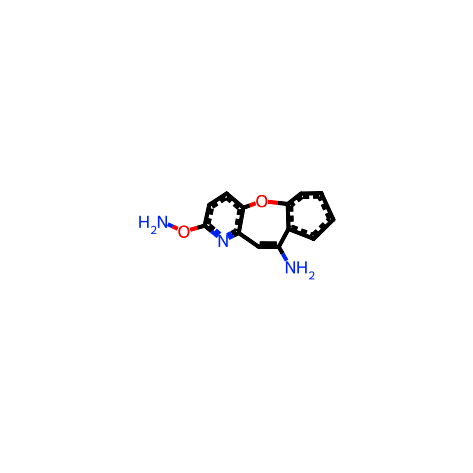 NOc1ccc2c(n1)C=C(N)c1ccccc1O2